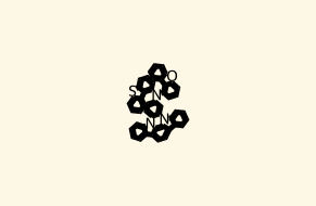 c1ccc2c(c1)oc1cccc(N(c3ccc4c(c3)n3c5ccccc5c5ccc6c7ccccc7n4c6c53)c3cccc4sc5ccccc5c34)c12